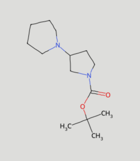 CC(C)(C)OC(=O)N1CCC(N2CCCCC2)C1